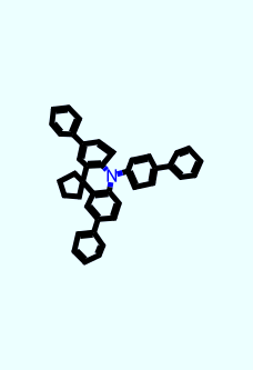 c1ccc(-c2ccc(N3c4ccc(-c5ccccc5)cc4C4(CCCC4)c4cc(-c5ccccc5)ccc43)cc2)cc1